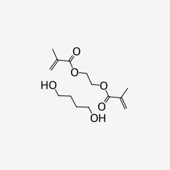 C=C(C)C(=O)OCCOC(=O)C(=C)C.OCCCCO